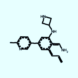 C=C/C=c1/cc(-c2ccc(C)nc2)cc(NC2CNC2)/c1=C/N